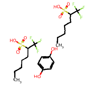 CCCCCC(C(F)(F)F)S(=O)(=O)O.CCCCCC(C(F)(F)F)S(=O)(=O)O.Oc1ccc(O)cc1